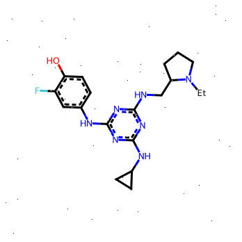 CCN1CCCC1CNc1nc(Nc2ccc(O)c(F)c2)nc(NC2CC2)n1